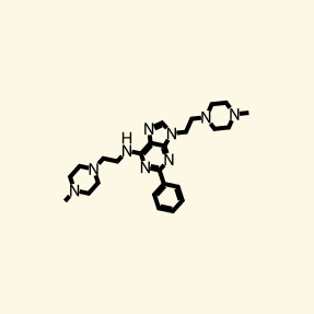 CN1CCN(CCNc2nc(-c3ccccc3)nc3c2ncn3CCN2CCN(C)CC2)CC1